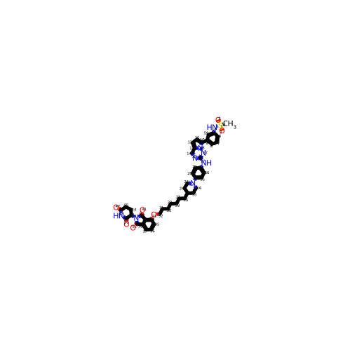 CS(=O)(=O)Nc1cccc(-c2ccc3cnc(Nc4ccc(N5CCC(CCCCCCCOc6cccc7c6C(=O)N(C6CCC(=O)NC6=O)C7=O)CC5)cc4)nn23)c1